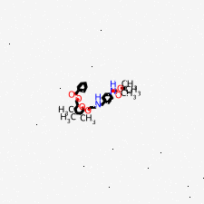 CC1C(COC(=O)c2ccccc2)OC(OCCNCc2ccc(NC(=O)OC(C)(C)C)cc2)C(C)C1C